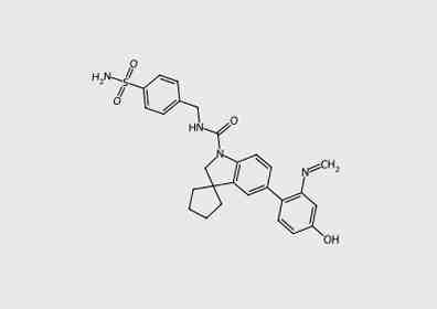 C=Nc1cc(O)ccc1-c1ccc2c(c1)C1(CCCC1)CN2C(=O)NCc1ccc(S(N)(=O)=O)cc1